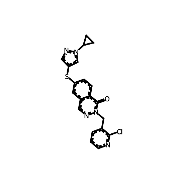 O=c1c2ccc(Sc3cnn(C4CC4)c3)cc2cnn1Cc1cccnc1Cl